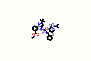 CCOC(=O)c1cccc(-n2nc(C(C)(C)C)cc2NC(=O)NCc2ccccc2Sc2ccc3nnc(C(C)C)n3c2)c1